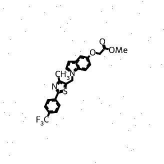 COC(=O)COc1ccc2c(ccn2Cc2sc(-c3ccc(C(F)(F)F)cc3)nc2C)c1